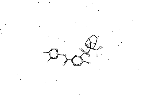 C[C@@H](O)[C@@H](O)[C@]1(O)C2CCC1C[C@@H](S(=O)(=O)c1cc(C(=O)Nc3ccc(F)c(F)c3)ccc1Cl)C2